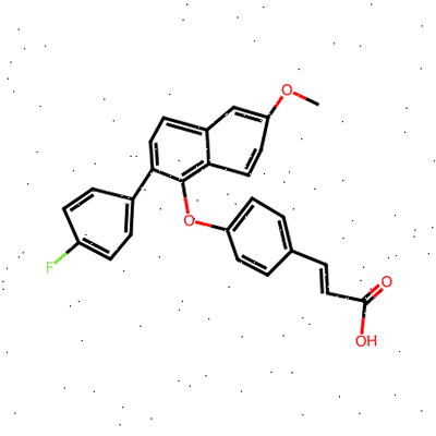 COc1ccc2c(Oc3ccc(/C=C/C(=O)O)cc3)c(-c3ccc(F)cc3)ccc2c1